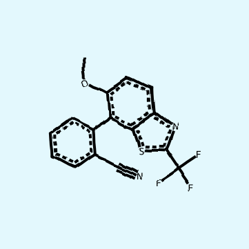 COc1ccc2nc(C(F)(F)F)sc2c1-c1ccccc1C#N